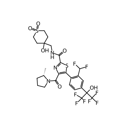 C[C@H]1CCCN1C(=O)c1nc(C(=O)NCC2(O)CCS(=O)(=O)CC2)sc1-c1ccc(C(O)(C(F)(F)F)C(F)(F)F)cc1C(F)F